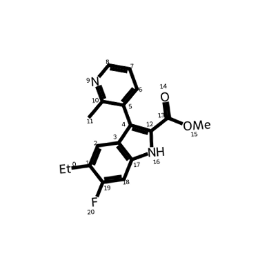 CCc1cc2c(-c3cccnc3C)c(C(=O)OC)[nH]c2cc1F